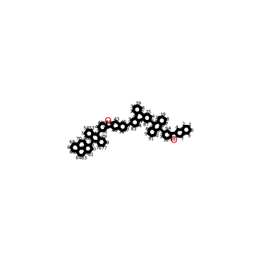 c1ccc2cc3c(cc2c1)oc1ccc(-c2c4ccccc4c(-c4ccc5c6ccccc6c6cc(-c7ccc8cc9c(cc8c7)oc7ccc(-c8c%10ccccc%10c(-c%10ccc%11ccc%12cccc%13ccc%10c%11c%12%13)c%10ccccc8%10)cc79)ccc6c5c4)c4ccccc24)cc13